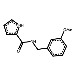 COc1cccc(CNC(=O)c2ccc[nH]2)c1